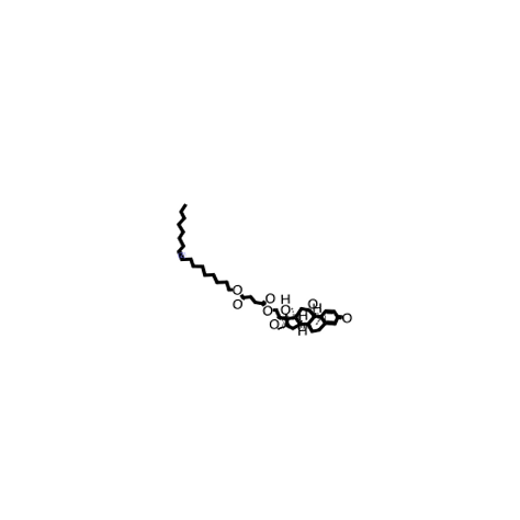 CCCCCCC/C=C\CCCCCCCCOC(=O)CCC(=O)OCC(=O)[C@@]1(O)[C@H](C)C[C@H]2[C@@H]3CCC4=CC(=O)C=C[C@]4(C)[C@H]3C(=O)C[C@@]21C